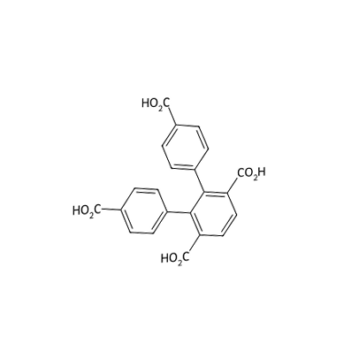 O=C(O)c1ccc(-c2c(C(=O)O)ccc(C(=O)O)c2-c2ccc(C(=O)O)cc2)cc1